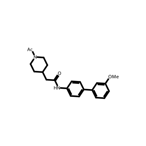 COc1cccc(-c2ccc(NC(=O)CC3CCN(C(C)=O)CC3)cc2)c1